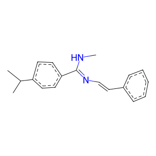 CN/C(=N\C=C\c1ccccc1)c1ccc(C(C)C)cc1